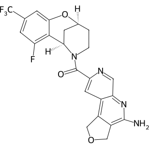 Nc1nc2cnc(C(=O)N3CC[C@H]4C[C@@H]3c3c(F)cc(C(F)(F)F)cc3O4)cc2c2c1COC2